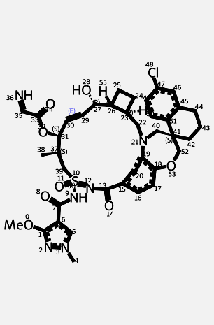 COc1nn(C)cc1C(=O)N[S@@]1(=O)=NC(=O)c2ccc3c(c2)N(C[C@@H]2CC[C@H]2[C@@H](O)/C=C/[C@H](OC(=O)C=N)[C@H](C)C1)C[C@@]1(CCCc2cc(Cl)ccc21)CO3